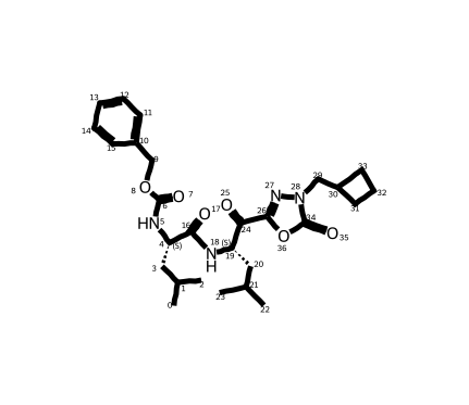 CC(C)C[C@H](NC(=O)OCc1ccccc1)C(=O)N[C@@H](CC(C)C)C(=O)c1nn(CC2CCC2)c(=O)o1